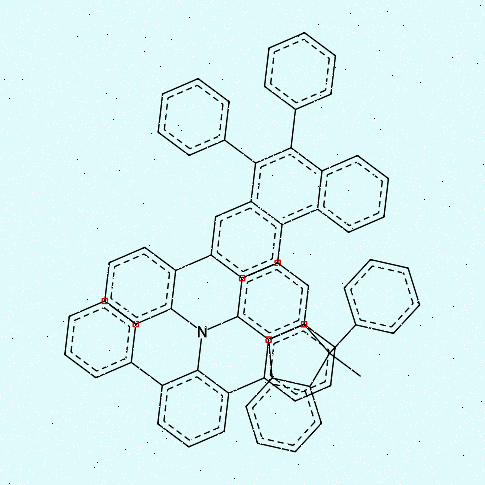 CC1(c2ccccc2)c2ccccc2-c2c(N(c3ccccc3-c3ccc4c(c3)c(-c3ccccc3)c(-c3ccccc3)c3ccccc34)c3c(-c4ccccc4)cccc3-c3ccccc3)cccc21